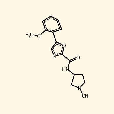 N#CN1CCC(NC(=O)c2ncc(-c3ccccc3OC(F)(F)F)o2)C1